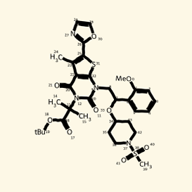 COc1ccccc1C(Cn1c(=O)n(C(C)(C)C(=O)OC(C)(C)C)c(=O)c2c(C)c(-c3ncco3)sc21)OC1CCN(S(C)(=O)=O)CC1